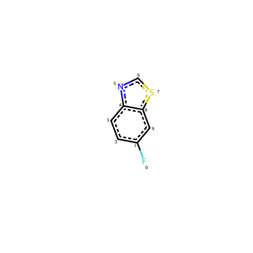 Fc1ccc2ncsc2c1